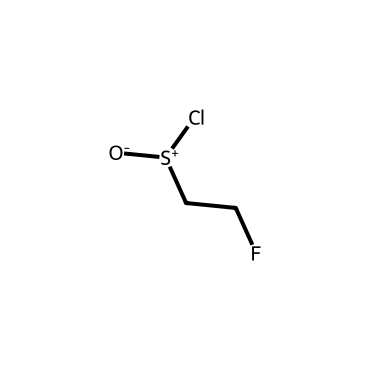 [O-][S+](Cl)CCF